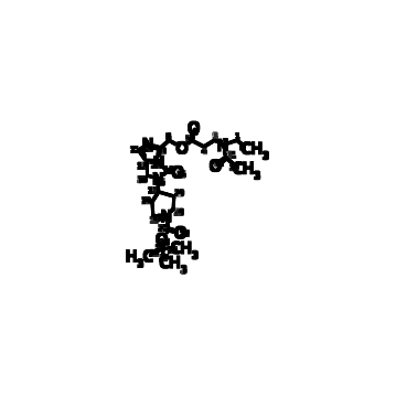 CCN(CCC(=O)OCc1ncc2n1C(=O)N(C1CCN(C(=O)OC(C)(C)C)CC1)C2)C(C)=O